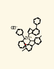 Cc1ccc2c(c1)[CH]([Zr+2](=[C](c1ccccc1)c1ccccc1)[CH]1C=Cc3c(-c4ccccc4)cccc31)c1cc(C)ccc1-2.[Cl-].[Cl-]